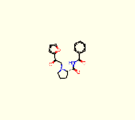 O=C(NC(=O)[C@@H]1CCCN1CC(=O)c1ccco1)c1ccccc1